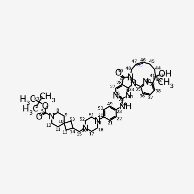 CC(C)(C)OC(=O)N1CCC2(CC1)CC(CN1CCN(c3ccc(Nc4ncc5c(=O)n6n(c5n4)-c4cccc(n4)[C@](C)(O)CC/C=C\C6)cc3)CC1)C2